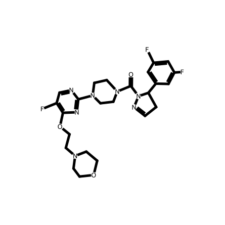 O=C(N1CCN(c2ncc(F)c(OCCN3CCOCC3)n2)CC1)N1N=CCC1c1cc(F)cc(F)c1